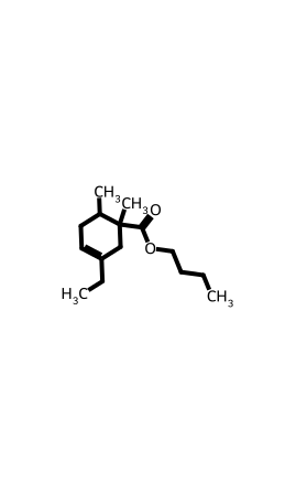 CCCCOC(=O)C1(C)CC(CC)=CCC1C